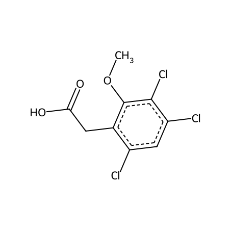 COc1c(Cl)c(Cl)cc(Cl)c1CC(=O)O